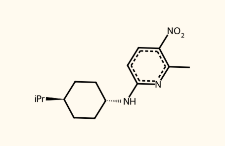 Cc1nc(N[C@H]2CC[C@H](C(C)C)CC2)ccc1[N+](=O)[O-]